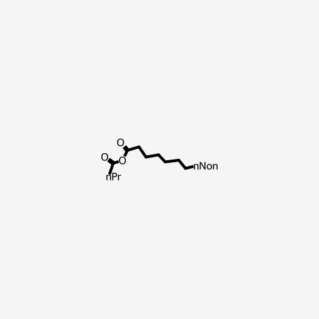 CCCCCCCCCCCCCCCC(=O)OC(=O)CCC